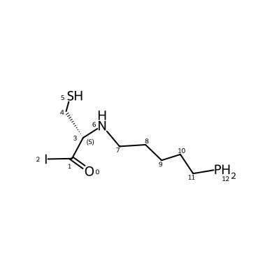 O=C(I)[C@H](CS)NCCCCCP